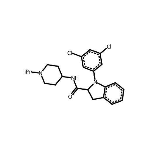 CC(C)N1CCC(NC(=O)C2Cc3ccccc3N2c2cc(Cl)cc(Cl)c2)CC1